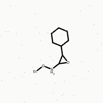 CCO[SiH2]C1OC1C1CCCCC1